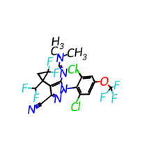 CN(C)C=Nc1c(C2(C(F)F)CC2(F)F)c(C#N)nn1-c1c(Cl)cc(OC(F)(F)F)cc1Cl